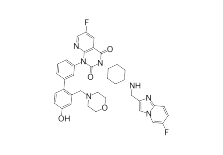 O=c1c2cc(F)cnc2n(-c2cccc(-c3ccc(O)cc3CN3CCOCC3)c2)c(=O)n1[C@H]1CC[C@@H](NCc2cn3cc(F)ccc3n2)CC1